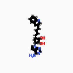 Nc1ncnc2c1ccn2[C@@H]1C[C@H](CCCCc2cnc3ccccc3c2)[C@@H](O)[C@H]1O